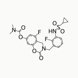 CN(C)C(=O)Oc1cc(F)c2c(c1)OC(=O)N(Cc1cccc(NS(=O)(=O)C3CC3)c1F)C2